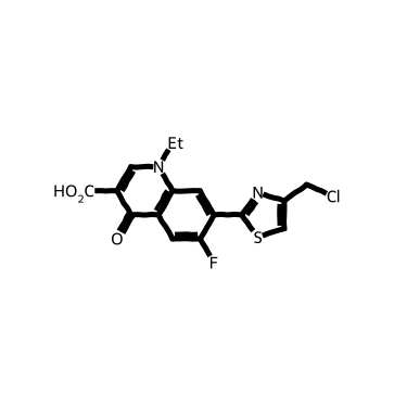 CCn1cc(C(=O)O)c(=O)c2cc(F)c(-c3nc(CCl)cs3)cc21